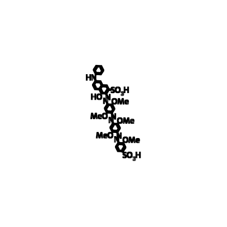 COc1cc(S(=O)(=O)O)ccc1N=Nc1cc(OC)c(N=Nc2cc(OC)c(N=Nc3c(S(=O)(=O)O)cc4cc(Nc5ccccc5)ccc4c3O)cc2OC)cc1OC